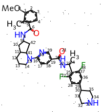 COc1cccc(C(=O)NC2CC3CCCN(c4ccc(C(=O)NC(C)c5c(F)cc(C6CCNCC6)cc5F)cn4)C3C2)c1C